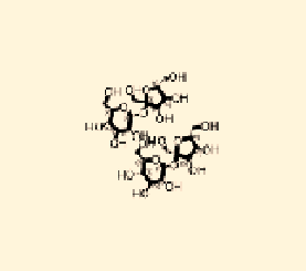 OC[C@H]1O[C@@](CO)(O[C@H]2O[C@H](CO)[C@@H](O)[C@H](O)[C@H]2O)[C@@H](O)[C@@H]1O.OC[C@H]1O[C@](CO)(O[C@@H]2O[C@H](CO)[C@@H](O)[C@H](O)[C@H]2O)[C@@H](O)[C@@H]1O